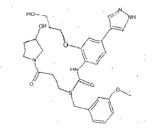 COc1cccc(CN(CCC(=O)N2CCC(O)C2)C(=O)Nc2ccc(-c3cn[nH]c3)cc2OCCCO)c1